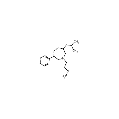 COCCN1CC(C[C](C)C)CCC(c2ccccc2)C1